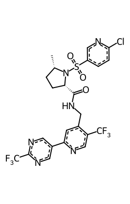 C[C@H]1CC[C@@H](C(=O)NCc2cc(-c3cnc(C(F)(F)F)nc3)ncc2C(F)(F)F)N1S(=O)(=O)c1ccc(Cl)nc1